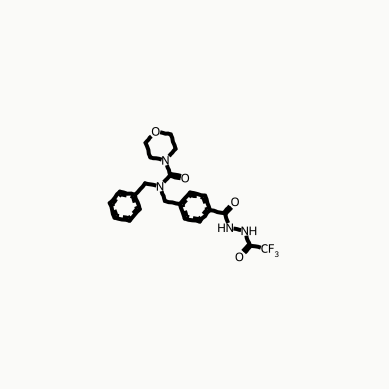 O=C(NNC(=O)C(F)(F)F)c1ccc(CN(Cc2ccccc2)C(=O)N2CCOCC2)cc1